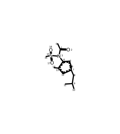 CC(=O)N(c1ccc(CC(C)C)cc1C)S(C)(=O)=O